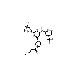 COCCC(=O)N1CCC(c2cc(Nc3cc(C(F)(F)F)ccn3)nc(NCC(C)(F)F)n2)C1